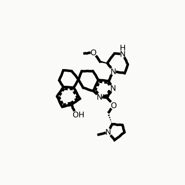 COC[C@H]1CNCCN1c1nc(OC[C@@H]2CCCN2C)nc2c1CCC1(CCCc3ccc(O)cc31)C2